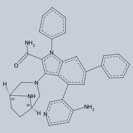 NC(=O)c1c(N2C[C@H]3CC[C@@H](C2)N3)c2c(-c3cnccc3N)cc(-c3ccccc3)cc2n1-c1ccccc1